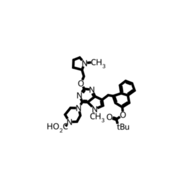 CN1CCCC1COc1nc(N2CCN(C(=O)O)CC2)c2c(n1)c(Cc1cc(OC(=O)C(C)(C)C)cc3ccccc13)cn2C